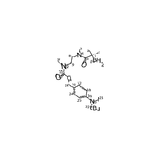 BC(C)(C)C(=O)N(C)CCN(C)C(=O)OCc1ccc(N(I)C(C)(C)C)cc1